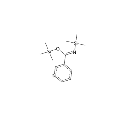 C[Si](C)(C)N=C(O[Si](C)(C)C)c1cccnc1